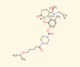 Cc1ccc(OC(=O)N2CCN(C(=O)CCCCOC(C)C)CC2)c2c1[C@]13CCN(CC4CC4)[C@H](C)[C@]1(O)CCC(=O)[C@@H]3O2